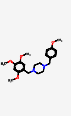 COc1ccc(CN2CCN(Cc3cc(OC)c(OC)cc3OC)CC2)cc1